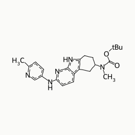 Cc1ccc(Nc2ccc3c4c([nH]c3n2)CCC(N(C)C(=O)OC(C)(C)C)C4)cn1